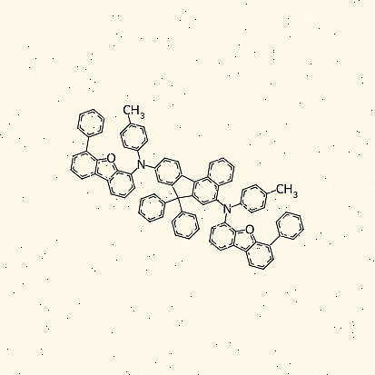 Cc1ccc(N(c2ccc3c(c2)C(c2ccccc2)(c2ccccc2)c2cc(N(c4ccc(C)cc4)c4cccc5c4oc4c(-c6ccccc6)cccc45)c4ccccc4c2-3)c2cccc3c2oc2c(-c4ccccc4)cccc23)cc1